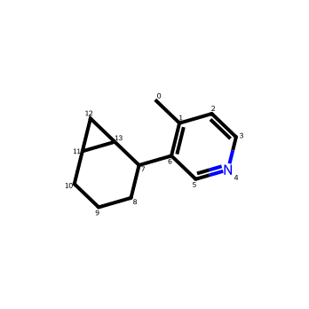 Cc1ccncc1C1CCCC2CC21